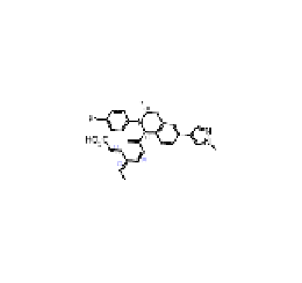 C=C(\C=C/C(/C=C/C(=O)O)=C\C)[C@@H]1c2ccc(-c3cnn(C)c3)cc2C[C@@H](C)N1c1ccc(C(C)C)cc1